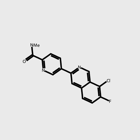 CNC(=O)c1ccc(-c2cc3ccc(F)c(Cl)c3cn2)cn1